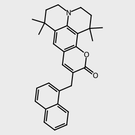 CC1(C)CCN2CCC(C)(C)c3c2c1cc1cc(Cc2cccc4ccccc24)c(=O)oc31